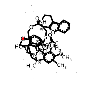 COc1c(C)cc2c(c1O)[C@@H]1[C@@H]3[C@@H]4SC[C@]5(NCCc6c5oc5ccccc65)C(=O)OC[C@@H](c5c6c(c(C)c(OC(C)=O)c54)OCO6)N3C3(O)CN1[C@]2(C)C3